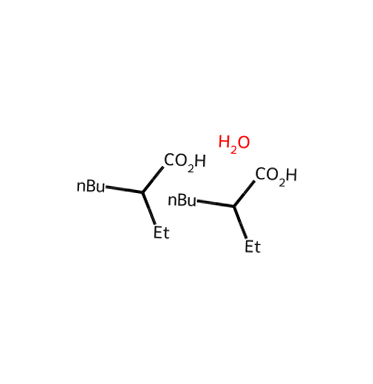 CCCCC(CC)C(=O)O.CCCCC(CC)C(=O)O.O